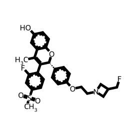 CC1=C(c2ccc(S(C)(=O)=O)cc2F)[C@@H](c2ccc(OCCN3CC(CF)C3)cc2)Oc2ccc(O)cc21